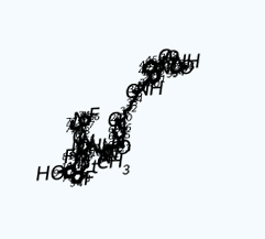 CCc1c(F)ccc2cc(O)cc(-c3ncc4c(NCc5cc(C(=O)N6CCN(C(=O)CCCCCC(=O)NCc7ccc8c9c(cccc79)C(=O)N8C7CCC(=O)NC7=O)CC6)nn5C)nc(OC[C@@]56CCCN5C[C@H](F)C6)nc4c3F)c12